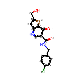 O=C(NCc1ccc(Cl)cc1)c1c[nH]c2cc(CO)sc2c1=O